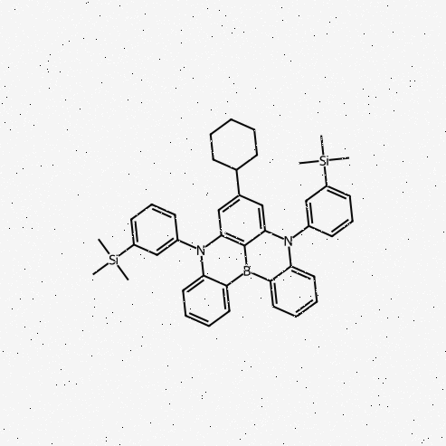 C[Si](C)(C)c1cccc(N2c3ccccc3B3c4ccccc4N(c4cccc([Si](C)(C)C)c4)c4cc(C5CCCCC5)cc2c43)c1